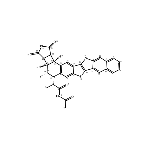 CC(=O)NC(=O)C(C)[C@H]1c2cc3sc4c5cc6ccccc6cc5sc4c3cc2[C@H]2C3C(=O)NC(=O)C3[C@H]2[C@H]1C